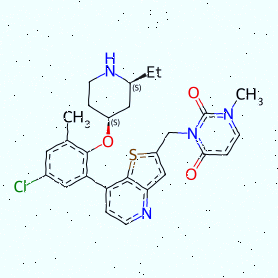 CC[C@H]1C[C@@H](Oc2c(C)cc(Cl)cc2-c2ccnc3cc(Cn4c(=O)ccn(C)c4=O)sc23)CCN1